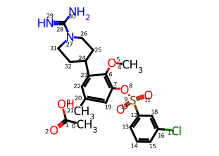 CC(=O)O.COc1c(OS(=O)(=O)c2cccc(Cl)c2)cc(C)cc1C1CCN(C(=N)N)CC1